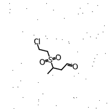 CC(CC=O)S(=O)(=O)CCCl